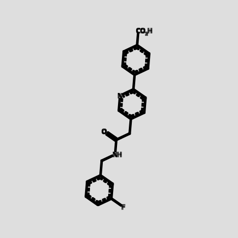 O=C(Cc1ccc(-c2ccc(C(=O)O)cc2)nc1)NCc1cccc(F)c1